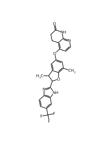 Cc1cc(Oc2ccnc3c2CCC(=O)N3)cc2c1OC(c1nc3ccc(C(F)(F)F)cc3[nH]1)C2C